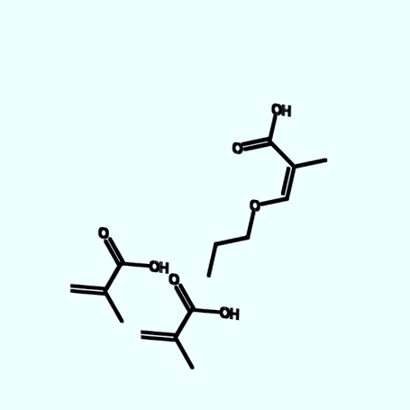 C=C(C)C(=O)O.C=C(C)C(=O)O.CCCOC=C(C)C(=O)O